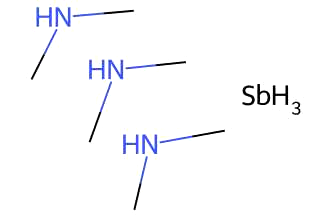 CNC.CNC.CNC.[SbH3]